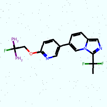 CC(F)(F)c1ncc2ccc(-c3ccc(OCC(F)(P)P)nc3)cn12